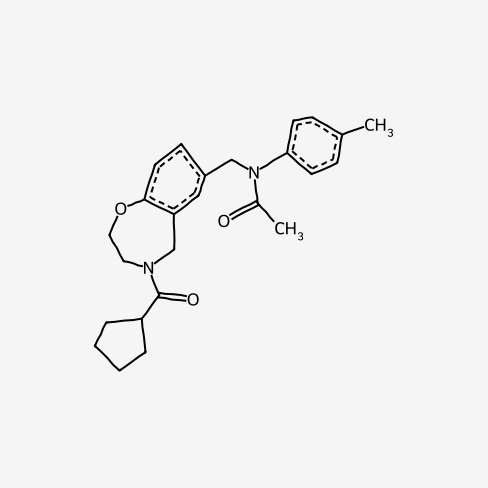 CC(=O)N(Cc1ccc2c(c1)CN(C(=O)C1CCCC1)CCO2)c1ccc(C)cc1